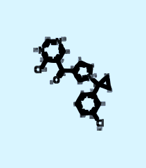 O=C(c1ccn(C2(c3cccc(Cl)c3)CC2)c1)c1cncnc1Cl